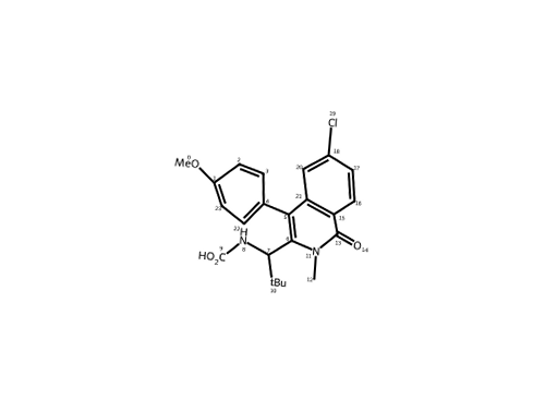 COc1ccc(-c2c(C(NC(=O)O)C(C)(C)C)n(C)c(=O)c3ccc(Cl)cc23)cc1